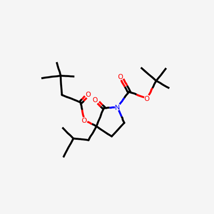 CC(C)CC1(OC(=O)CC(C)(C)C)CCN(C(=O)OC(C)(C)C)C1=O